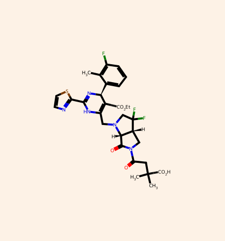 CCOC(=O)C1=C(CN2CC(F)(F)[C@@H]3CN(C(=O)CC(C)(C)C(=O)O)C(=O)[C@@H]32)NC(c2nccs2)=N[C@H]1c1cccc(F)c1C